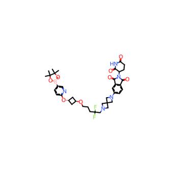 CC1(C)OB(c2ccc(O[C@H]3C[C@H](OCCCC(F)(F)CN4CC5(C4)CN(c4ccc6c(c4)C(=O)N(C4CCC(=O)NC4=O)C6=O)C5)C3)nc2)OC1(C)C